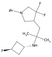 CC(C)N1CC(CC(C)(C)N[C@H]2C[C@H](F)C2)C(F)(F)C1